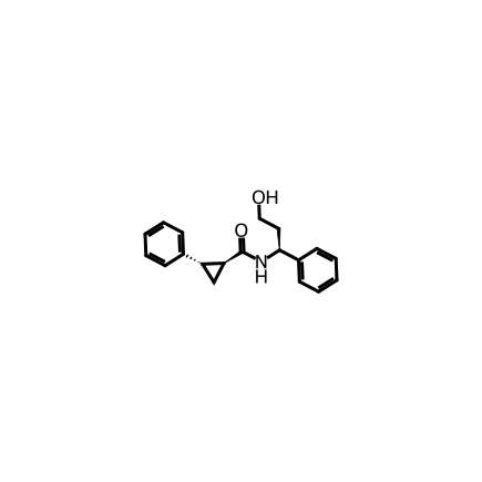 O=C(N[C@@H](CCO)c1ccccc1)[C@H]1C[C@@H]1c1ccccc1